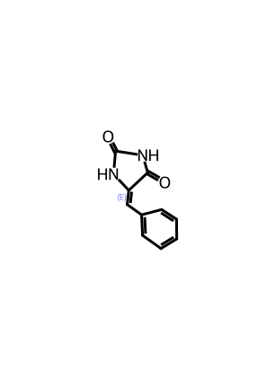 O=C1NC(=O)/C(=C\c2ccccc2)N1